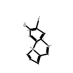 Fc1cc2ncc3cccn3c2cc1Cl